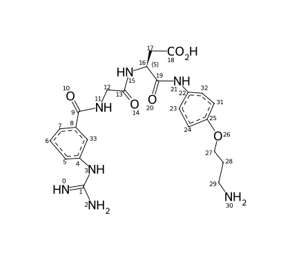 N=C(N)Nc1cccc(C(=O)NCC(=O)N[C@@H](CC(=O)O)C(=O)Nc2ccc(OCCCN)cc2)c1